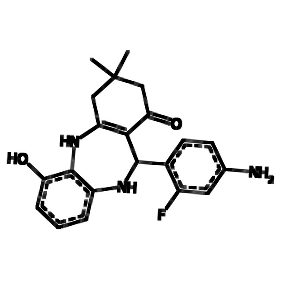 CC1(C)CC(=O)C2=C(C1)Nc1c(O)cccc1NC2c1ccc(N)cc1F